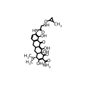 CC1CC1ONCC(=O)Nc1ccc2c(c1O)C(=O)C1=C(O)[C@]3(O)C(=O)C(C(N)=O)=C(O)[C@@H](N(C)C)C3CC1C2